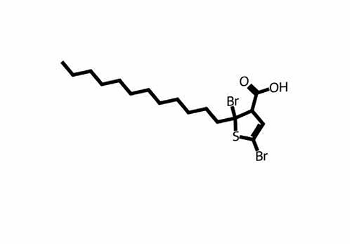 CCCCCCCCCCCCC1(Br)SC(Br)=CC1C(=O)O